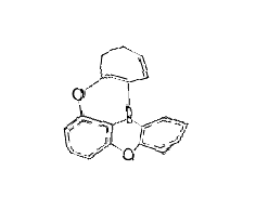 C1=CC2=C(CC1)Oc1cccc3c1B2c1ccccc1O3